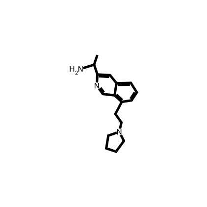 CC(N)c1cc2cccc(CCN3CCCC3)c2cn1